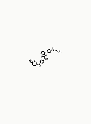 CN(C)CC1(O)CCCN(C(=O)c2ccc(Nc3nc4c(C5=CCN(C(=O)CCC(F)(F)F)CC5)cccn4n3)cc2)CC1